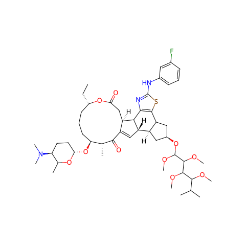 CC[C@H]1CCC[C@H](O[C@H]2CC[C@H](N(C)C)C(C)O2)[C@@H](C)C(=O)C2=C[C@@H]3C(c4nc(Nc5cccc(F)c5)sc4C4C[C@@H](OC(OC)C(OC)C(OC)C(OC)C(C)C)C[C@H]43)[C@@H]2CC(=O)O1